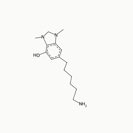 CN1CN(C)c2c(O)cc(CCCCCCN)cc21